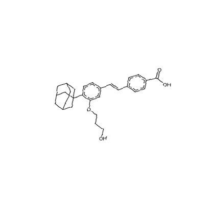 O=C(O)c1ccc(C=Cc2ccc(C34CC5CC(CC(C5)C3)C4)c(OCCCO)c2)cc1